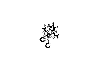 CC(C)C(=O)O[C@H]1[C@H](OC2CCCCO2)[C@@H](COC2CCCCO2)O[C@H]1n1c(C(=O)C(C)C)nc2c(=O)[nH]c(N)nc21